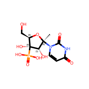 C[C@@]1(n2ccc(=O)[nH]c2=O)O[C@H](CO)[C@](O)(P(=O)(O)O)[C@H]1O